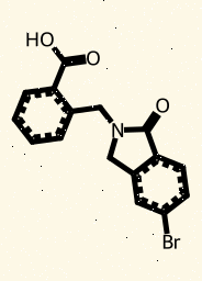 O=C(O)c1ccccc1CN1Cc2cc(Br)ccc2C1=O